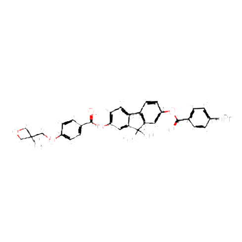 CCCc1ccc(C(=O)Oc2ccc3c(c2)C(C)(C)c2cc(OC(=O)c4ccc(OCC5(CC)COC5)cc4)ccc2-3)cc1